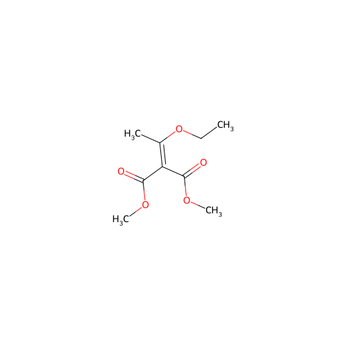 CCOC(C)=C(C(=O)OC)C(=O)OC